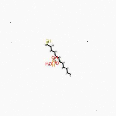 CCCCCCCCCCCCS.O=[PH](O)O